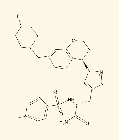 Cc1ccc(S(=O)(=O)N[C@H](Cc2cn([C@@H]3CCOc4cc(CN5CCC(F)CC5)ccc43)nn2)C(N)=O)cc1